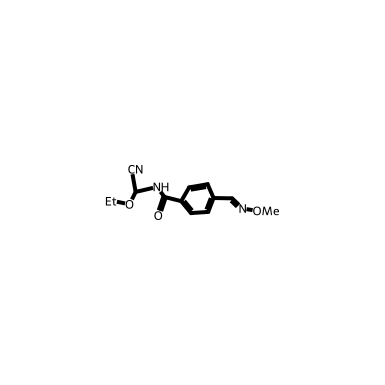 CCOC(C#N)NC(=O)c1ccc(C=NOC)cc1